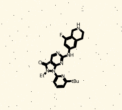 CCn1c(=O)c2cnc(Nc3cc(F)c4c(c3)CCNC4)nc2n1-c1cccc(C(C)(C)C)n1